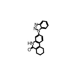 O=c1[nH]c2cc(-n3nnc4ccccc43)ccc2c2c1CCCC2